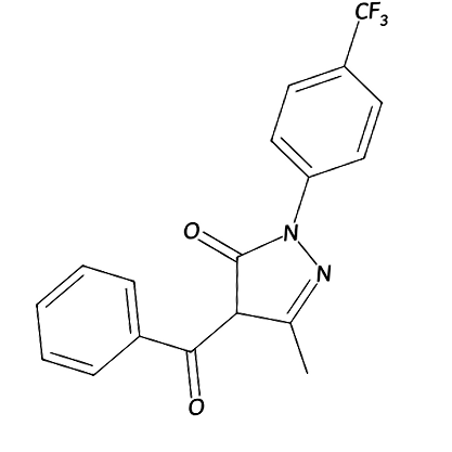 CC1=NN(c2ccc(C(F)(F)F)cc2)C(=O)C1C(=O)c1ccccc1